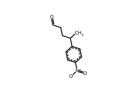 CC(C[CH]C=O)c1ccc([N+](=O)[O-])cc1